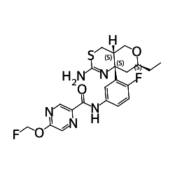 CC[C@H]1C[C@]2(c3cc(NC(=O)c4cnc(OCF)cn4)ccc3F)N=C(N)SC[C@@H]2CO1